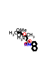 COC(C)(C)CCOC(C)(C)CCS(=O)(=O)Nc1cccc2c1C=CCC2